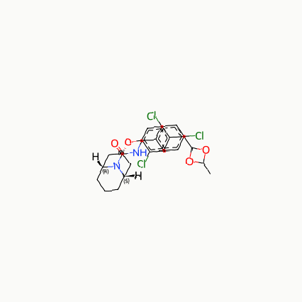 CC1OC(Cc2ccc(O[C@H]3C[C@H]4CCC[C@@H](C3)N4C(=O)NCc3ccc(Cl)cc3Cl)c(Cl)c2)O1